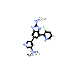 CCOC(=O)Nc1nc2cc(-c3cncc(N(C)C)c3)cc(-c3ncccc3F)c2[nH]1